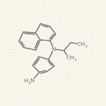 CCC(C)N(c1ccc(N)cc1)c1cccc2ccccc12